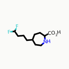 O=C(O)C1CCC(CCCC(F)F)CCN1